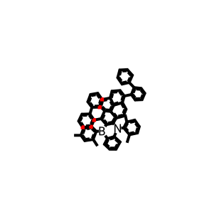 Cc1cc(C)c(B2c3ccccc3N(c3c(C)cccc3C)c3c2c(-c2ccccc2-c2ccccc2)c2ccc4ccc(-c5ccccc5-c5ccccc5)c5ccc3c2c45)c(C)c1